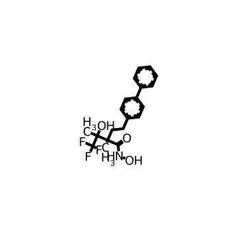 CC(CCc1ccc(-c2ccccc2)cc1)(C(=O)NO)C(C)(O)C(F)(F)F